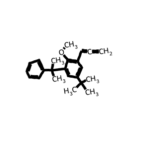 C=C=Cc1cc(C(C)(C)C)cc(C(C)(C)c2ccccc2)c1OC